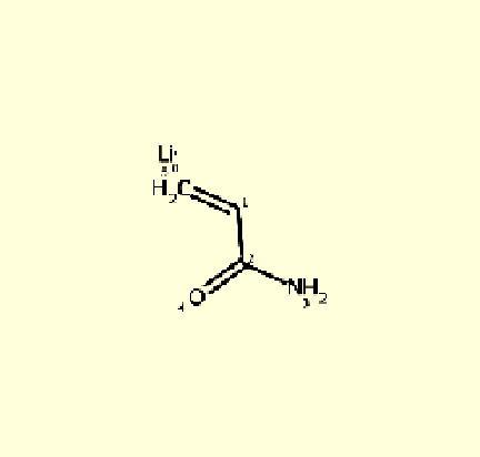 C=CC(N)=O.[Li]